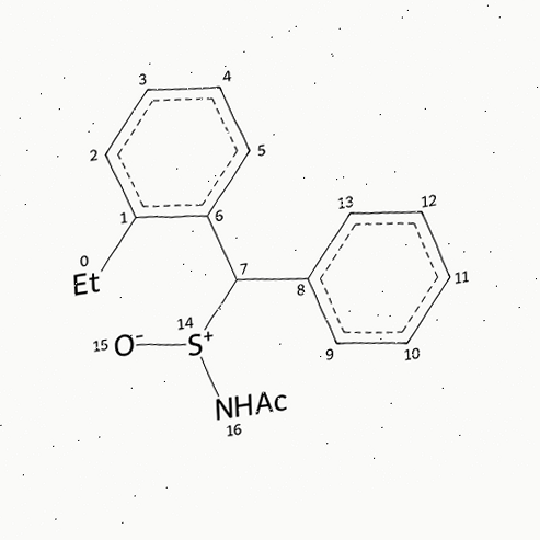 CCc1ccccc1C(c1ccccc1)[S+]([O-])NC(C)=O